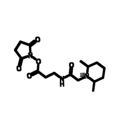 CC1CCCC(C)[15N]1CC(=O)NCCC(=O)ON1C(=O)CCC1=O